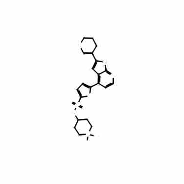 O=S(=O)(NC1CCS(O)(O)CC1)c1ccc(-c2ccnc3[nH]c(C4CCCNC4)cc23)s1